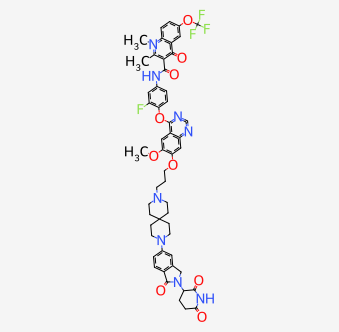 COc1cc2c(Oc3ccc(NC(=O)c4c(C)n(C)c5ccc(OC(F)(F)F)cc5c4=O)cc3F)ncnc2cc1OCCCN1CCC2(CC1)CCN(c1ccc3c(c1)CN(C1CCC(=O)NC1=O)C3=O)CC2